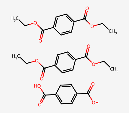 CCOC(=O)c1ccc(C(=O)OCC)cc1.CCOC(=O)c1ccc(C(=O)OCC)cc1.O=C(O)c1ccc(C(=O)O)cc1